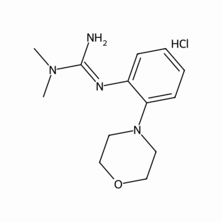 CN(C)/C(N)=N/c1ccccc1N1CCOCC1.Cl